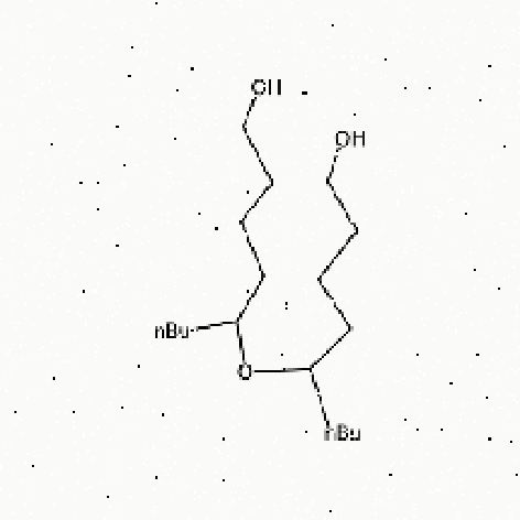 CCCCC(CCCCO)OC(CCCC)CCCCO